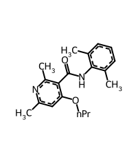 CCCOc1cc(C)nc(C)c1C(=O)Nc1c(C)cccc1C